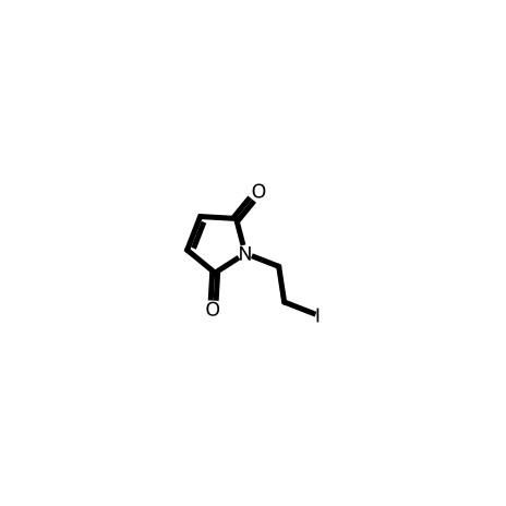 O=C1C=CC(=O)N1CCI